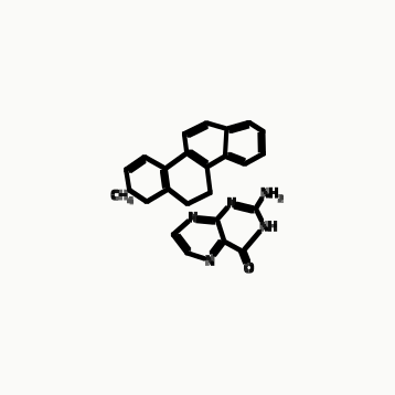 C.C1=CC2=C(CC1)CCc1c2ccc2ccccc12.Nc1nc2nccnc2c(=O)[nH]1